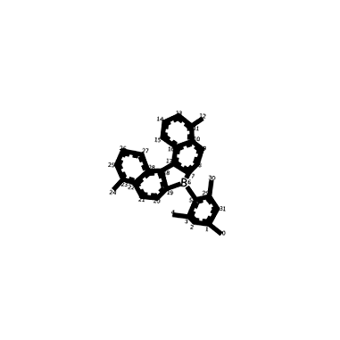 Cc1cc(C)c(B2c3ccc4c(C)cccc4c3-c3c2ccc2c(C)cccc32)c(C)c1